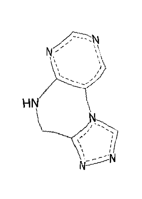 c1ncc2c(n1)NCc1nncn1-2